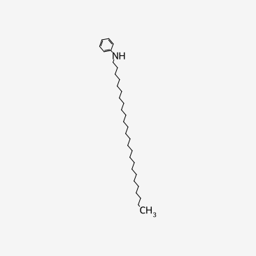 CCCCCCCCCCCCCCCCCCCCCCCCCCNc1ccccc1